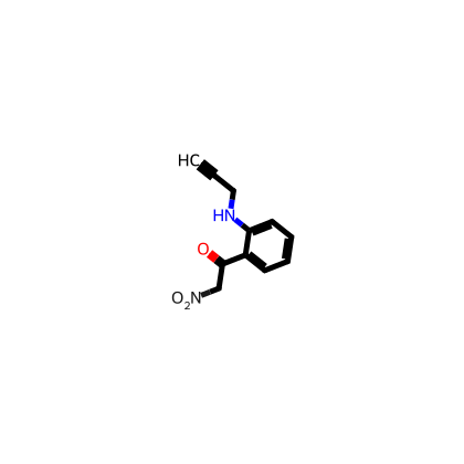 C#CCNc1ccccc1C(=O)C[N+](=O)[O-]